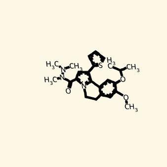 COc1cc2c(cc1OC(C)C)-c1c(-c3cccs3)cc(C(=O)N(C)N(C)C)n1CC2